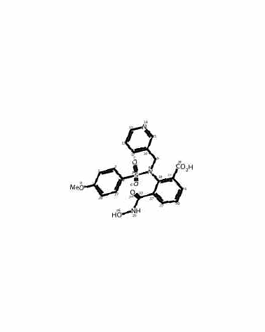 COc1ccc(S(=O)(=O)N(Cc2cccnc2)c2c(C(=O)O)cccc2C(=O)NO)cc1